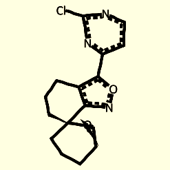 Clc1nccc(-c2onc3c2CCC[C@@]32CCCCC23OCCO3)n1